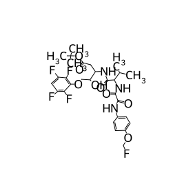 CC(C)C(NC(=O)C(=O)Nc1ccc(OCF)cc1)C(=O)NC(CC(=O)OC(C)(C)C)C(O)COc1c(F)c(F)cc(F)c1F